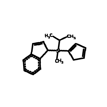 CC(C)[Si](C)(C1=CC=CC1)C1C=Cc2ccccc21